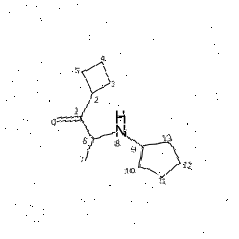 C=C(C1CCC1)C(C)NC1CCCC1